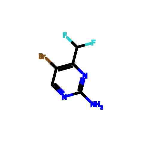 Nc1ncc(Br)c(C(F)F)n1